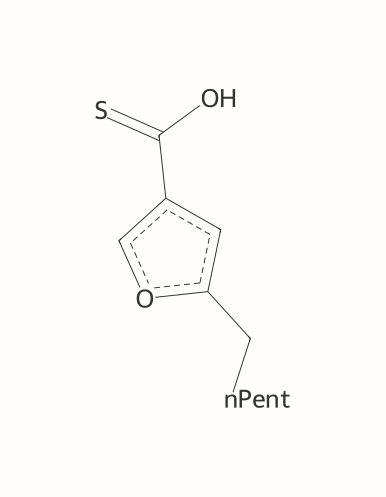 CCCCCCc1cc(C(O)=S)co1